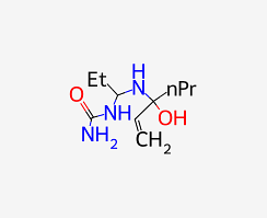 C=CC(O)(CCC)NC(CC)NC(N)=O